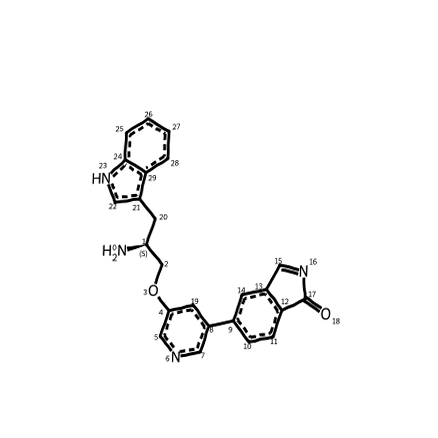 N[C@H](COc1cncc(-c2ccc3c(c2)C=NC3=O)c1)Cc1c[nH]c2ccccc12